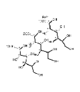 O=C([O-])[C@H](O)[C@@H](O)[C@H](O)[C@H](O)C(O)CO.O=C([O-])[C@H](O)[C@@H](O)[C@H](O)[C@H](O)C(O)CO.O=C([O-])[C@H](O)[C@@H](O)[C@H](O)[C@H](O)C(O)CO.[Re+3]